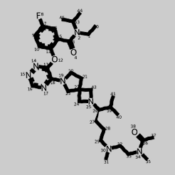 CCN(C(=O)c1cc(F)ccc1Oc1nncnc1N1CCC2(C1)CN([C@H](CCCN(C)CCN(C)C(C)=O)C(C)C)C2)C(C)C